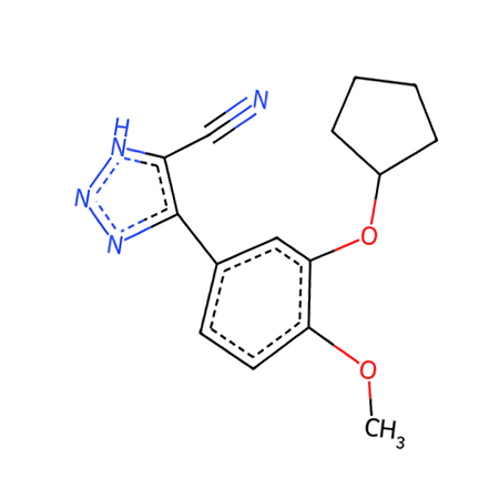 COc1ccc(-c2nn[nH]c2C#N)cc1OC1CCCC1